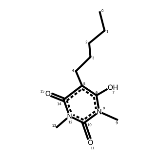 CCCCCc1c(O)n(C)c(=O)n(C)c1=O